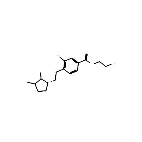 CC1C(Cl)CC[C@@H]1CCc1ccc(C(=O)OCCO)cc1[N+](=O)[O-]